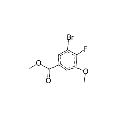 COC(=O)c1cc(Br)c(F)c(OC)c1